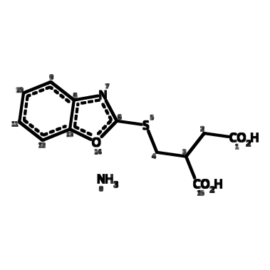 N.O=C(O)CC(CSc1nc2ccccc2o1)C(=O)O